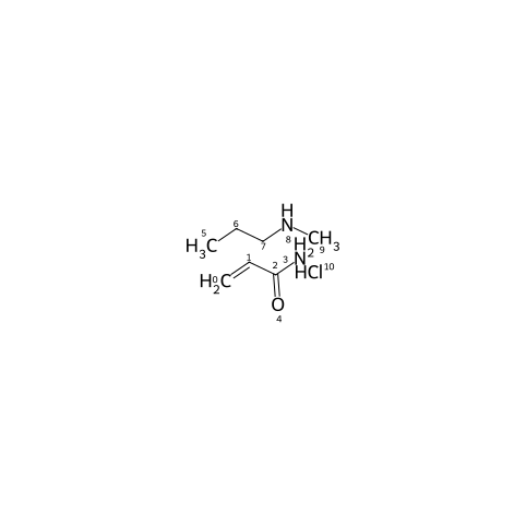 C=CC(N)=O.CCCNC.Cl